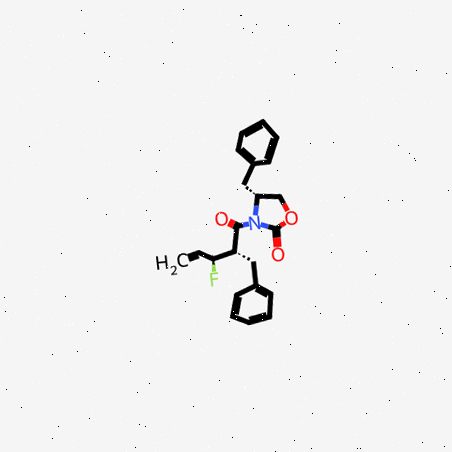 C=C[C@H](F)[C@@H](Cc1ccccc1)C(=O)N1C(=O)OC[C@H]1Cc1ccccc1